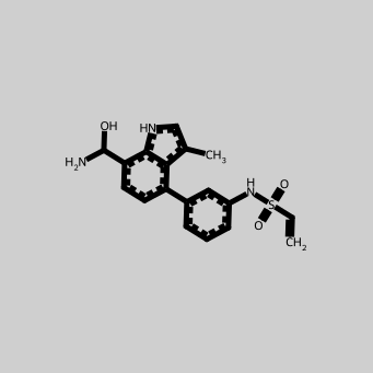 C=CS(=O)(=O)Nc1cccc(-c2ccc(C(N)O)c3[nH]cc(C)c23)c1